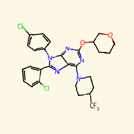 FC(F)(F)C1CCN(c2nc(OC3CCCOC3)nc3c2nc(-c2ccccc2Cl)n3-c2ccc(Cl)cc2)CC1